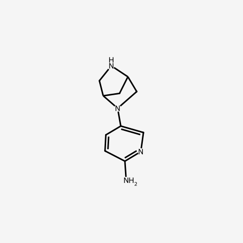 Nc1ccc(N2CC3CC2CN3)cn1